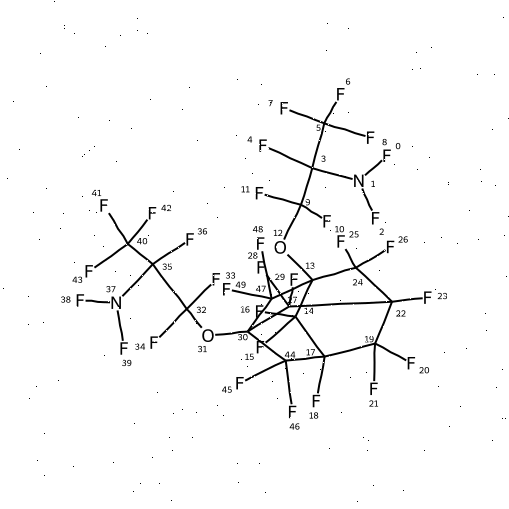 FN(F)C(F)(C(F)(F)F)C(F)(F)OC12C(F)(F)C3(F)C(F)(F)C(F)(C1(F)F)C(F)(F)C(OC(F)(F)C(F)(N(F)F)C(F)(F)F)(C3(F)F)C2(F)F